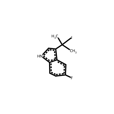 CC(C)(I)c1c[nH]c2ccc(F)cc12